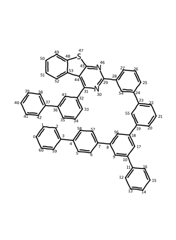 c1ccc(-c2ccc(-c3cc(-c4ccccc4)cc(-c4cccc(-c5cccc(-c6nc(-c7cccc(-c8ccccc8)c7)c7c(n6)sc6ccccc67)c5)c4)c3)cc2)cc1